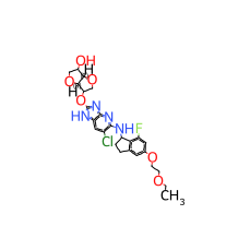 CCOCCOc1cc(F)c2c(c1)CCC2Nc1nc2nc(OC3CO[C@@H]4C(O)CO[C@H]34)[nH]c2cc1Cl